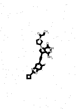 C=CC(=O)N1CC[C@H](n2cc(C#Cc3cc4nc(C5CCC5)oc4cc3F)c3c(N)n[nH]c(=O)c32)C1